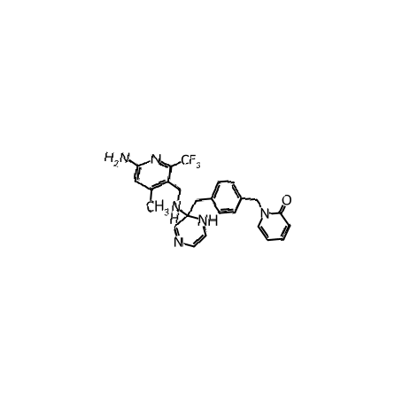 Cc1cc(N)nc(C(F)(F)F)c1CNC1(Cc2ccc(Cn3ccccc3=O)cc2)C=NC=CN1